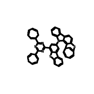 C1=CC=C(c2nc(C3=CC=CCC=C3)nc(-c3cc(-n4c5ccccc5c5ccc6c(c54)C4C=CC=CC(=C4)S6)cc4c3sc3ccccc34)n2)CC=C1